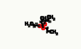 C=CCOC(CCC)(OCC=C)OCC=C